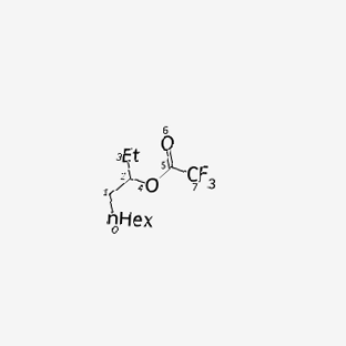 CCCCCCCC(CC)OC(=O)C(F)(F)F